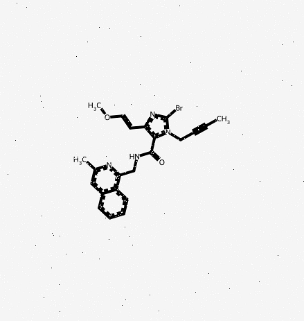 CC#CCn1c(Br)nc(/C=C/OC)c1C(=O)NCc1nc(C)cc2ccccc12